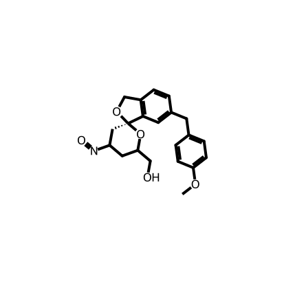 COc1ccc(Cc2ccc3c(c2)[C@]2(CC(N=O)CC(CO)O2)OC3)cc1